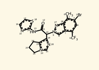 Cc1c(Br)cc(C(F)(F)F)c2cn(C(C(=O)Nc3nccs3)c3ncn4c3CCC4)nc12